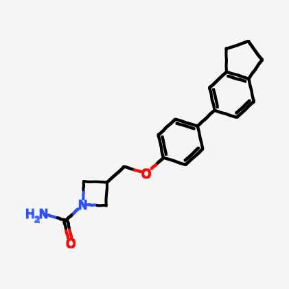 NC(=O)N1CC(COc2ccc(-c3ccc4c(c3)CCC4)cc2)C1